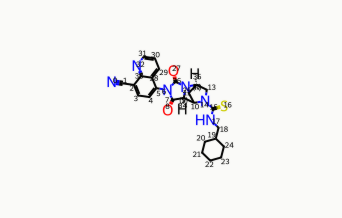 N#Cc1ccc(N2C(=O)[C@@H]3C4C[C@H](CN4C(=S)NCC4CCCCC4)N3C2=O)c2cccnc12